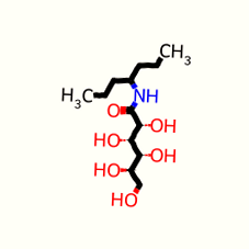 CCCC(CCC)NC(=O)[C@H](O)[C@@H](O)[C@H](O)[C@H](O)CO